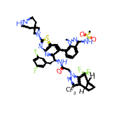 Cn1nc(NS(C)(=O)=O)c2cccc(-c3cc4sc(N5CC6(CCNCC6)C5)nc4nc3[C@H](Cc3cc(F)cc(F)c3)NC(=O)Cn3nc(C(F)(F)F)c4c3C(F)(F)[C@@H]3CC[C@H]43)c21